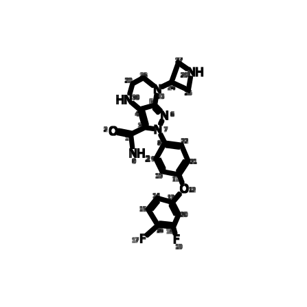 NC(=O)c1c2c(nn1-c1ccc(Oc3ccc(F)c(F)c3)cc1)N(C1CNC1)CCN2